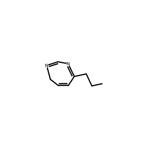 CCCC1=NC=NCC=C1